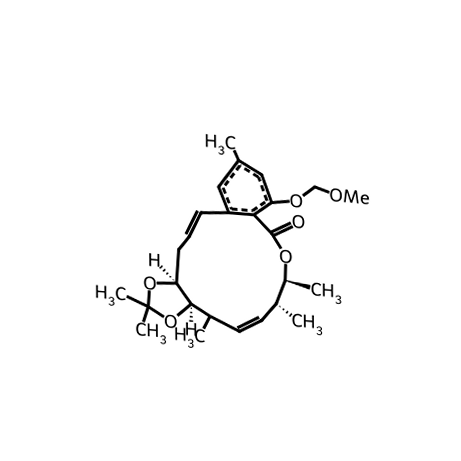 COCOc1cc(C)cc2c1C(=O)O[C@@H](C)[C@H](C)/C=C\C(C)[C@H]1OC(C)(C)O[C@H]1C/C=C/2